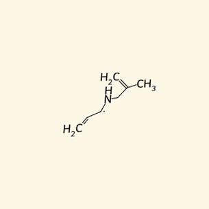 C=C[CH]NCC(=C)C